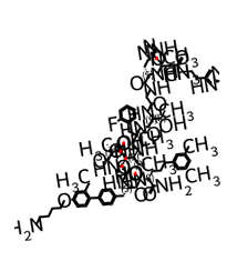 CCc1cc(OCCCCN)ccc1-c1ccc(C[C@H](NC(=O)[C@H](CC(=O)O)NC(=O)[C@H](C)NC(=O)[C@@H](NC(=O)[C@](C)(Cc2ccccc2F)NC(=O)[C@@H](NC(=O)CNC(=O)[C@H](Cc2nn[nH]n2)NC(=O)C(C)(C)C(=O)NCCc2cnc[nH]2)[C@@H](C)O)[C@@H](C)O)C(=O)N[C@@H](CCCc2cc(C)cc(C)c2)C(N)=O)cc1